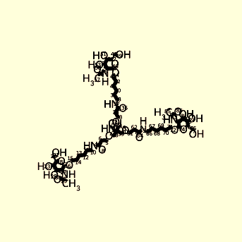 CNC(COCCC(=O)NCCCCCCO[C@@H]1O[C@H](CO)[C@H](O)[C@H](O)[C@H]1NC(C)=O)(COCCC(=O)NCCCCCCO[C@@H]1O[C@H](CO)[C@H](O)[C@H](O)[C@H]1NC(C)=O)COCCC(=O)NCCCCCCO[C@@H]1O[C@H](CO)[C@H](O)[C@H](O)[C@H]1NC(C)=O